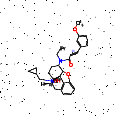 CC(C)CN(C(=O)/C=C/c1cccc(OC(F)(F)F)c1)C1CC[C@@]2(O)[C@H]3Cc4cccc5c4[C@@]2(CCN3CC2CC2)C1O5